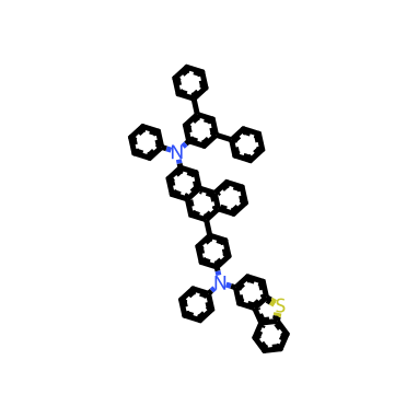 c1ccc(-c2cc(-c3ccccc3)cc(N(c3ccccc3)c3ccc4cc(-c5ccc(N(c6ccccc6)c6ccc7sc8ccccc8c7c6)cc5)c5ccccc5c4c3)c2)cc1